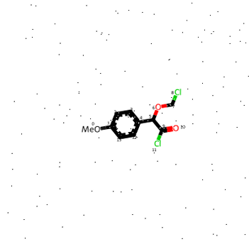 COc1ccc(C(OCCl)C(=O)Cl)cc1